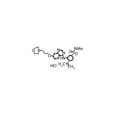 CNS(=O)(=O)c1ccc(N(C)C)c(Nc2ncnc3cc(OCCCN4CCOCC4)ccc23)c1.Cl